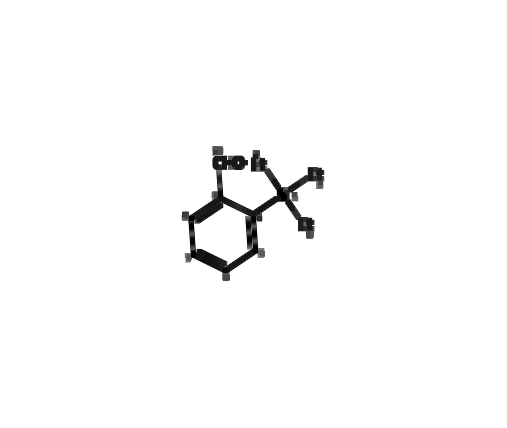 CC[Si](CC)(CC)c1ccccc1[C]=O